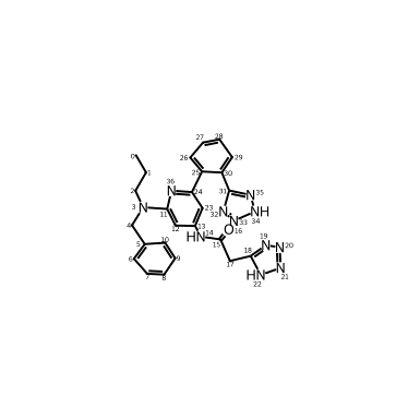 CCCN(Cc1ccccc1)c1cc(NC(=O)Cc2nnn[nH]2)cc(-c2ccccc2-c2nn[nH]n2)n1